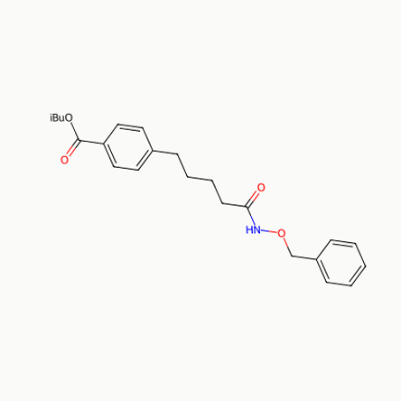 CC(C)COC(=O)c1ccc(CCCCC(=O)NOCc2ccccc2)cc1